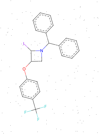 FC(F)(F)c1ccc(OC2CN(C(c3ccccc3)c3ccccc3)C2I)cc1